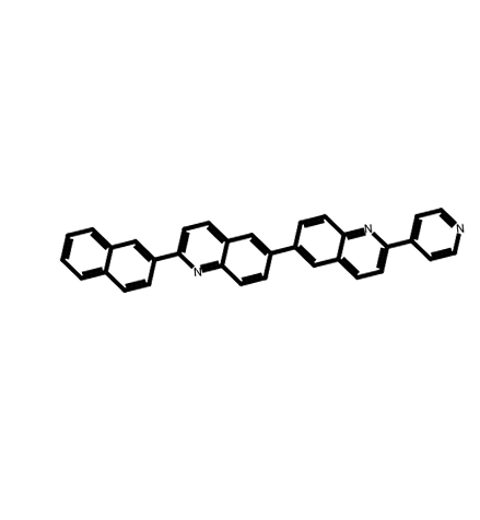 c1ccc2cc(-c3ccc4cc(-c5ccc6nc(-c7ccncc7)ccc6c5)ccc4n3)ccc2c1